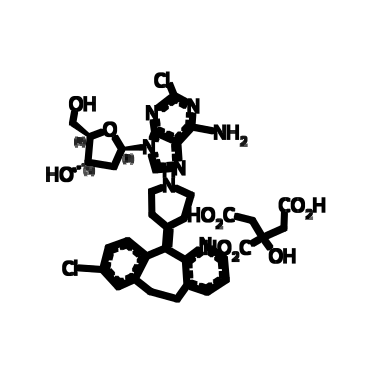 Clc1ccc2c(c1)CCc1cccnc1C2=C1CCNCC1.Nc1nc(Cl)nc2c1ncn2[C@H]1C[C@H](O)[C@@H](CO)O1.O=C(O)CC(O)(CC(=O)O)C(=O)O